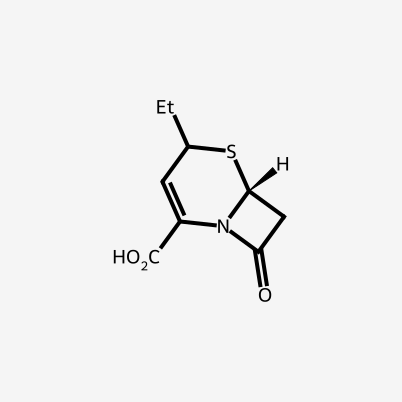 CCC1C=C(C(=O)O)N2C(=O)C[C@H]2S1